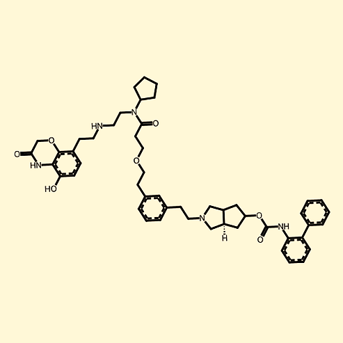 O=C1COc2c(CCNCCN(C(=O)CCOCCc3cccc(CCN4CC5CC(OC(=O)Nc6ccccc6-c6ccccc6)C[C@H]5C4)c3)C3CCCC3)ccc(O)c2N1